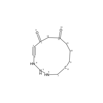 O=C1C#CNNNCCCCCC(=O)C1